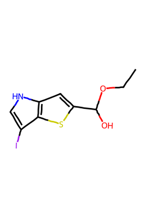 CCOC(O)c1cc2[nH]cc(I)c2s1